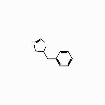 C1=NCC(Cc2ccccc2)O1